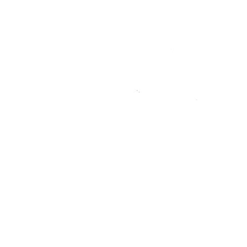 C=CCOc1c(C(C)(C)C)cc(C)cc1[Si](CC)(CC)C1c2ccccc2-c2c1c1cc(C)ccc1n2-c1cc(C(C)(C)C)cc(C(C)(C)C)c1